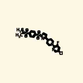 CN(C)S(=O)(=O)c1ccc(S(=O)(=O)n2ccc(C3CCN(c4ncc(Cl)cc4F)CC3)n2)cc1